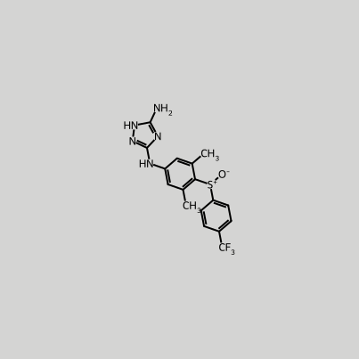 Cc1cc(Nc2n[nH]c(N)n2)cc(C)c1[S+]([O-])c1ccc(C(F)(F)F)cc1